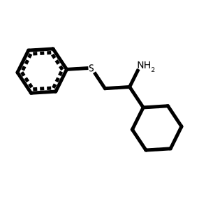 NC(CSc1ccccc1)C1CCCCC1